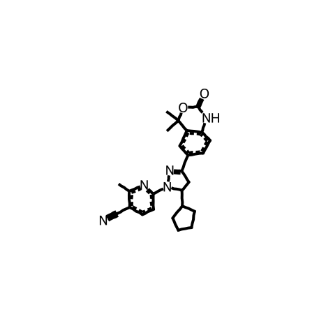 Cc1nc(N2N=C(c3ccc4c(c3)C(C)(C)OC(=O)N4)CC2C2CCCC2)ccc1C#N